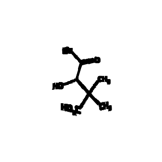 CC(C)(C)C(=O)C(O)C(C)(C)C(=O)O